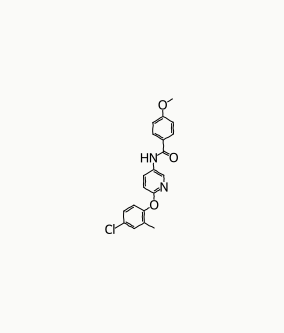 COc1ccc(C(=O)Nc2ccc(Oc3ccc(Cl)cc3C)nc2)cc1